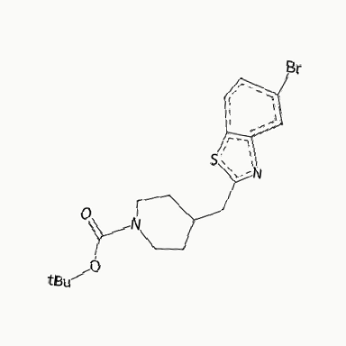 CC(C)(C)OC(=O)N1CCC(Cc2nc3cc(Br)ccc3s2)CC1